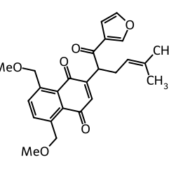 COCc1ccc(COC)c2c1C(=O)C=C(C(CC=C(C)C)C(=O)c1ccoc1)C2=O